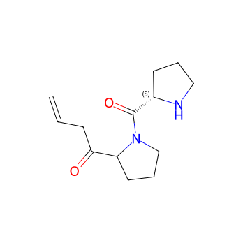 C=CCC(=O)C1CCCN1C(=O)[C@@H]1CCCN1